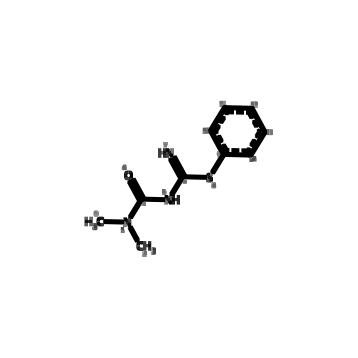 CN(C)C(=O)NC(=N)Sc1ccccc1